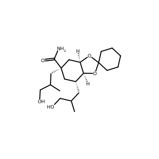 CC(CO)C[C@@H]1C[C@@](CC(C)CO)(C(N)=O)C[C@H]2OC3(CCCCC3)O[C@@H]12